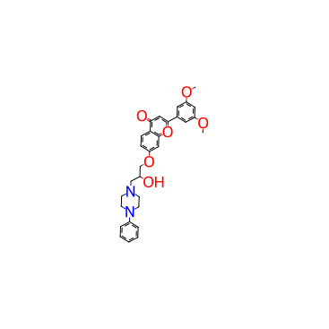 COc1cc(OC)cc(-c2cc(=O)c3ccc(OCC(O)CN4CCN(c5ccccc5)CC4)cc3o2)c1